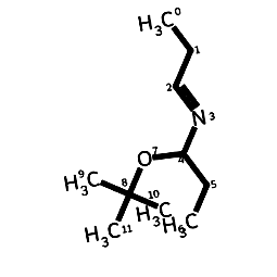 CCC=NC(CC)OC(C)(C)C